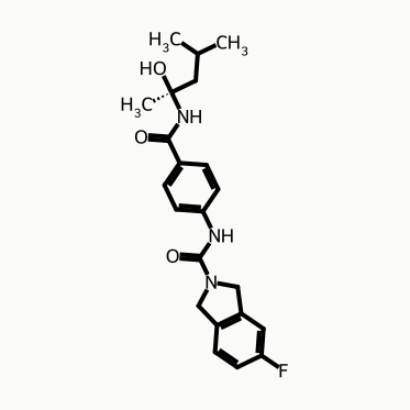 CC(C)C[C@](C)(O)NC(=O)c1ccc(NC(=O)N2Cc3ccc(F)cc3C2)cc1